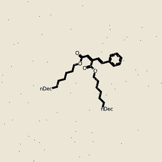 CCCCCCCCCCCCCCCCOC(=O)C=C(C=Cc1ccccc1)C(=O)OCCCCCCCCCCCCCCCC